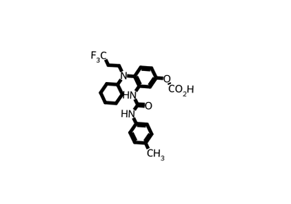 Cc1ccc(NC(=O)Nc2cc(OC(=O)O)ccc2N(CCC(F)(F)F)C2CCCCC2)cc1